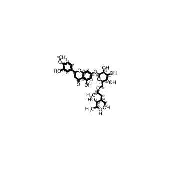 COc1ccc(C2CC(=O)c3c(O)cc(O[C@@H]4OC(CO[C@@H](C)CC(CO)[C@H](O)C(C)O)[C@@H](O)C(O)C4O)cc3O2)cc1O